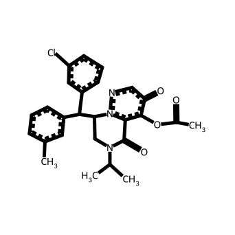 CC(=O)Oc1c2n(ncc1=O)C(C(c1cccc(C)c1)c1cccc(Cl)c1)CN(C(C)C)C2=O